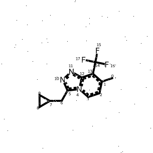 [CH2]c1ccn2c(CC3CC3)nnc2c1C(F)(F)F